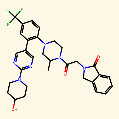 CC1CN(c2ccc(C(F)(F)F)cc2-c2cnc(N3CCC(O)CC3)nc2)CCN1C(=O)CN1Cc2ccccc2C1=O